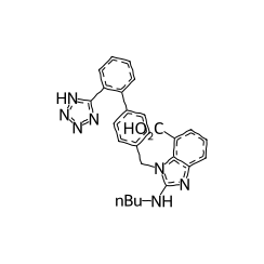 CCCCNc1nc2cccc(C(=O)O)c2n1Cc1ccc(-c2ccccc2-c2nnn[nH]2)cc1